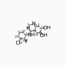 Oc1cc2ncnc(Nc3cccc(Cl)c3F)c2cc1O